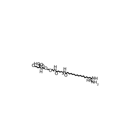 N=C(CCCCCCCCCCCCCCCC(=O)NSCCCC(=O)NCCOCCOCC(=O)NC(CCC=O)C(=O)O)NN